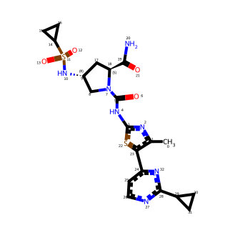 Cc1nc(NC(=O)N2C[C@H](NS(=O)(=O)C3CC3)C[C@H]2C(N)=O)sc1-c1ccnc(C2CC2)n1